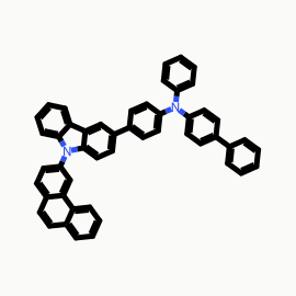 c1ccc(-c2ccc(N(c3ccccc3)c3ccc(-c4ccc5c(c4)c4ccccc4n5-c4ccc5ccc6ccccc6c5c4)cc3)cc2)cc1